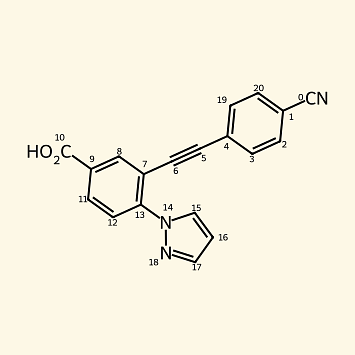 N#Cc1ccc(C#Cc2cc(C(=O)O)ccc2-n2cccn2)cc1